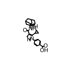 O=C(O)c1ccc(-n2ncc(C(=O)NC34CC5CC(C3)C(O)C(C5)C4)c2C2CC2)cc1